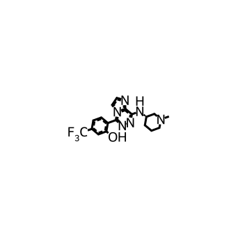 CN1CCC[C@@H](Nc2nnc(-c3ccc(C(F)(F)F)cc3O)n3ccnc23)C1